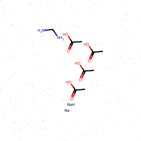 CC(=O)O.CC(=O)O.CC(=O)O.CC(=O)O.NCN.[NaH].[Na]